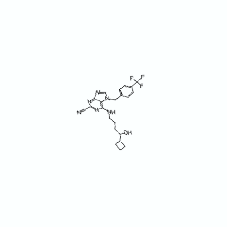 N#Cc1nc(NCCCC(O)C2CCC2)c2c(ncn2Cc2ccc(C(F)(F)F)cc2)n1